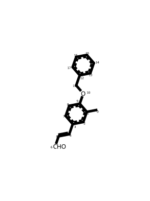 Cc1cc(C=CC=O)ccc1OCc1ccccc1